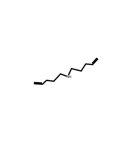 C=CCCCNCCCC=C